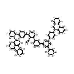 N#Cc1c(-c2ccc(-c3ccccc3-c3ccc4c5c(cccc35)-c3ccccc3-4)cc2)cccc1-c1cccc(-c2nc(-c3ccccc3)nc(-c3ccc(-c4cc5ccccc5c5ccccc45)cc3)n2)c1